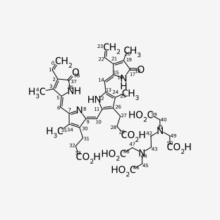 C=CC1=C(C)/C(=C/C2=NC(=C\c3[nH]c(/C=C4\NC(=O)C(C)=C4C=C)c(C)c3CCC(=O)O)/C(CCC(=O)O)=C2C)NC1=O.O=C(O)CN(CCN(CC(=O)O)CC(=O)O)CC(=O)O